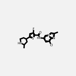 Cc1cn2cc(NC(=O)c3sc(C4CCNC(C)C4)cc3F)cc(Cl)c2n1